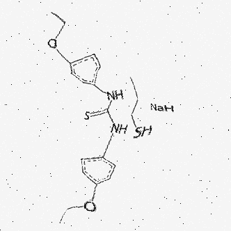 CCCS.CCOc1ccc(NC(=S)Nc2ccc(OCC)cc2)cc1.[NaH]